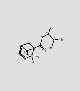 C=C1C2=C=CC(C)(C)C1(C(=O)CC(C)C(C)C)C2